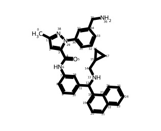 Cc1cc(C(=O)Nc2cccc(C(NCC3CC3)c3cccc4ccccc34)c2)n(-c2cccc(CN)c2)n1